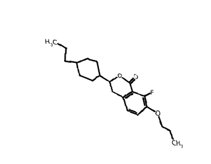 CCCOc1ccc2c(c1F)C(=O)OC(C1CCC(CCC)CC1)C2